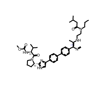 C=N/C(=C(/C)NCCN(CCC)C(=O)CC(C)C)c1ccc(-c2ccc(-c3c[nH]c([C@@H]4CCCN4C(=O)[C@@H](NC(=O)OC)C(C)C)n3)cc2)cc1